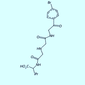 CC(C)C(NC(=O)CNCC(=O)NCC(=O)c1ccc(Br)cc1)C(=O)O